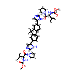 COC(=O)NC(C(=O)N1CCC[C@H]1c1ncc(-c2ccc3c(c2)C(C)(C)c2cc(-c4cnc([C@@H]5CCCN5C(=O)[C@@H](NC(=O)OC)C(C)C)[nH]4)ccc2-3)[nH]1)C(C)C